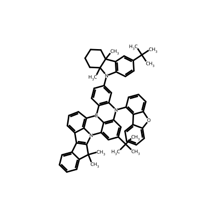 CC(C)(C)c1cc2c3c(c1)-n1c4c(c5cccc(c51)B3c1ccc(N3c5ccc(C(C)(C)C)cc5C5(C)CCCCC35C)cc1N2c1cccc2oc3ccccc3c12)-c1ccccc1C4(C)C